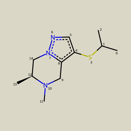 CC(C)Sc1cnn2c1CN(C)[C@@H](C)C2